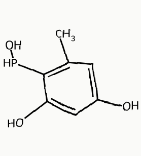 Cc1cc(O)cc(O)c1PO